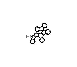 c1ccc2c(c1)-c1ccccc1C21c2ccccc2-c2c1c1ccc3[nH]c4ccccc4c3c1c1ccccc21